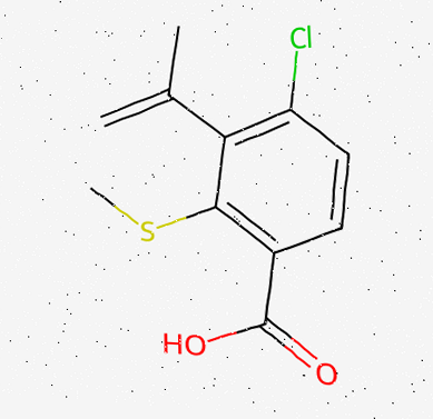 C=C(C)c1c(Cl)ccc(C(=O)O)c1SC